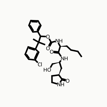 CCCC[C@H](NC(=O)OC(c1ccccc1)C(C)(C)c1cccc(Cl)c1)C(=O)N[C@H](CO)C[C@@H]1CCNC1=O